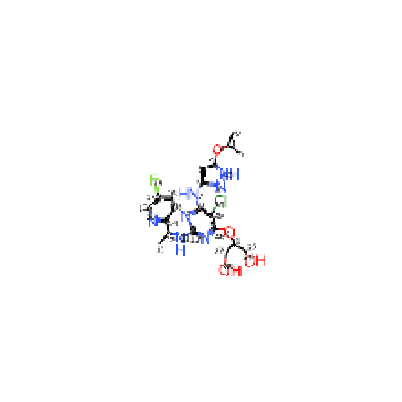 CC(C)Oc1cc(Nc2nc(NC(C)c3ccc(F)cn3)nc(OC(CO)CO)c2Cl)n[nH]1